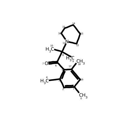 Cc1cc(C)c(C(=O)C(C)(C)N2CCCCC2)c(C)c1